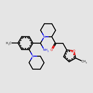 Cc1ccc(C(N)N2CCCCC2C(=O)Cc2ccc(C)o2)c(N2CCCCC2)c1